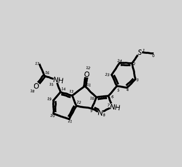 CSc1ccc(-c2[nH]nc3c2C(=O)c2c(NC(C)=O)cccc2-3)cc1